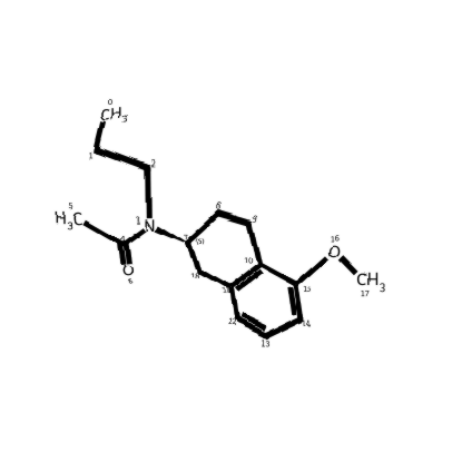 CCCN(C(C)=O)[C@H]1CCc2c(cccc2OC)C1